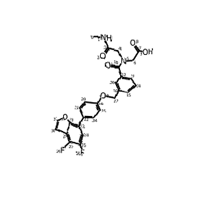 CNC(=O)CN(CC(=O)O)C(=O)c1cccc(COc2ccc(-c3cc(F)c(F)c4ccoc34)cc2)c1